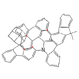 CC1(C)c2ccccc2-c2ccc(-c3ccccc3N(c3ccc4c(c3)C3(c5ccccc5-4)C4CC5CC6CC3C564)c3ccccc3-c3cccc4cccc(-c5ccccc5)c34)cc21